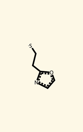 [S]CCc1ncco1